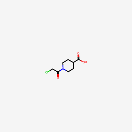 O=C(O)C1CCN(C(=O)CCl)CC1